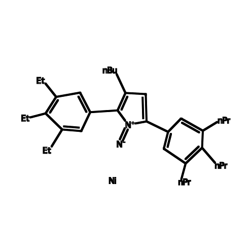 CCCCC1=C(c2cc(CC)c(CC)c(CC)c2)[N+](=[N-])C(c2cc(CCC)c(CCC)c(CCC)c2)=C1.[Ni]